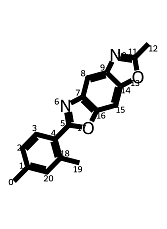 Cc1ccc(-c2nc3cc4nc(C)oc4cc3o2)c(C)c1